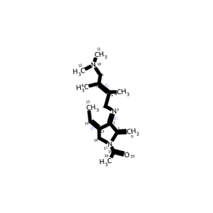 C=C1C(=N/C/C(C)=C(\C)CN(C)C)/C(=C\C)CN1C(C)=O